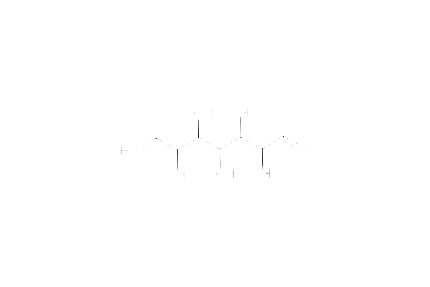 O=CC(O)C(O)C(O)C(O)C(O)CO